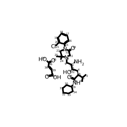 CC(C)[C@H](C[C@H](O)[C@@H](N)CN1CC(=O)N(c2ccccc2Cl)CC1(C)C)C(=O)NC1CCCCC1.O=C(O)C=CC(=O)O